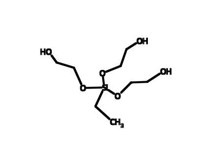 CC[Si](OCCO)(OCCO)OCCO